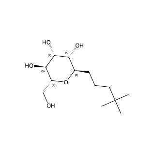 CC(C)(C)CCC[C@H]1O[C@H](CO)[C@@H](O)[C@H](O)[C@@H]1O